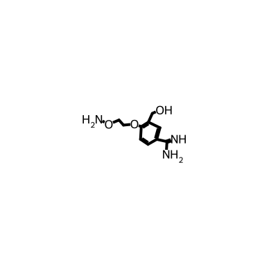 N=C(N)c1ccc(OCCON)c(CO)c1